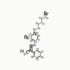 CN(/N=C/c1cc[n+](CCCCCCBr)cc1)c1ccccc1.[Br-]